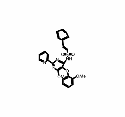 COc1ccccc1Oc1c(NS(=O)(=O)C=Cc2ccccc2)nc(-c2ccccn2)nc1OC